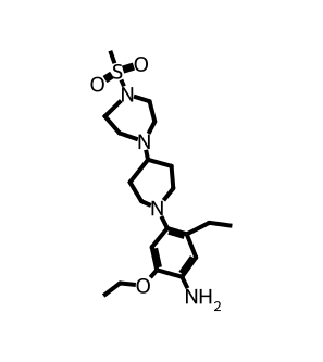 CCOc1cc(N2CCC(N3CCN(S(C)(=O)=O)CC3)CC2)c(CC)cc1N